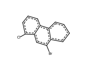 Clc1cccc2c1cc(Br)c1ccccc12